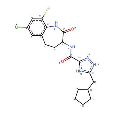 O=C(NC1CCc2cc(Cl)cc(F)c2NC1=O)c1nnc(CC2CCCC2)[nH]1